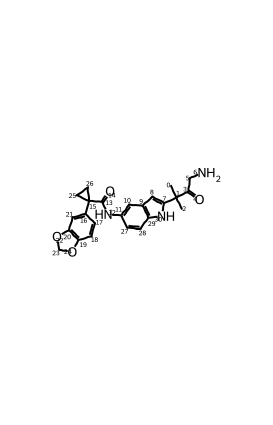 CC(C)(C(=O)CN)c1cc2cc(NC(=O)C3(c4ccc5c(c4)OCO5)CC3)ccc2[nH]1